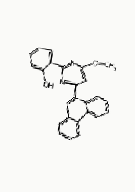 COc1cc(-c2cc3ccccc3c3ccccc23)nc(-c2ccccc2O)n1